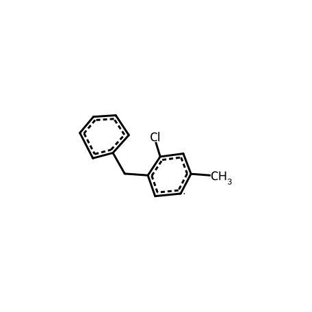 Cc1[c]cc(Cc2ccccc2)c(Cl)c1